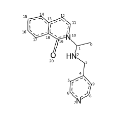 CC(NCc1ccncc1)n1ccc2ccccc2c1=O